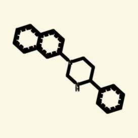 c1ccc(C2CCN(c3ccc4ccccc4c3)CN2)cc1